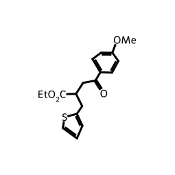 CCOC(=O)C(CC(=O)c1ccc(OC)cc1)Cc1cccs1